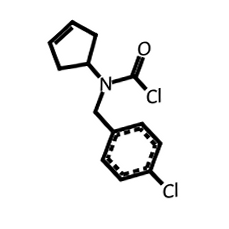 O=C(Cl)N(Cc1ccc(Cl)cc1)C1CC=CC1